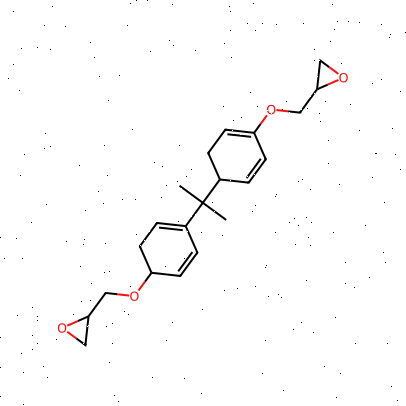 CC(C)(C1=CCC(OCC2CO2)C=C1)C1C=CC(OCC2CO2)=CC1